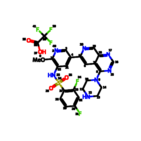 COc1ncc(-c2cc3c(N4CCNCC4)ncnc3cn2)cc1NS(=O)(=O)c1ccc(F)cc1F.O=C(O)C(F)(F)F